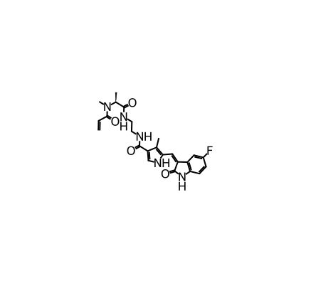 C=CC(=O)N(C)[C@@H](C)C(=O)NCCNC(=O)c1c[nH]c(/C=C2\C(=O)Nc3ccc(F)cc32)c1C